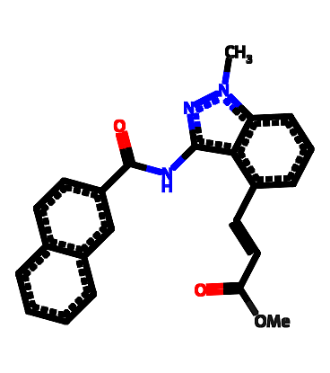 COC(=O)C=Cc1cccc2c1c(NC(=O)c1ccc3ccccc3c1)nn2C